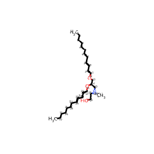 CCCCCCCCCCCCOCC(CN(C)CCO)OCCCCCCCCCCCC